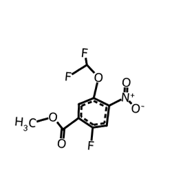 COC(=O)c1cc(OC(F)F)c([N+](=O)[O-])cc1F